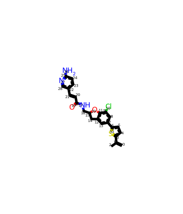 C=C(C)c1ccc(-c2cc(Cl)c3c(c2)CC(CNC(=O)/C=C/c2ccc(N)nc2)O3)s1